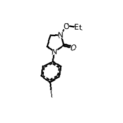 CCON1CCN(c2ccc(I)cc2)C1=O